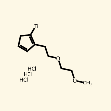 COCCOCCC1=[C]([Ti])CC=C1.Cl.Cl.Cl